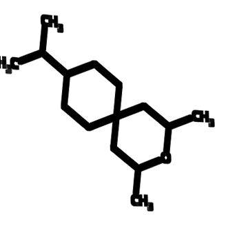 CC1CC2(CCC(C(C)C)CC2)CC(C)O1